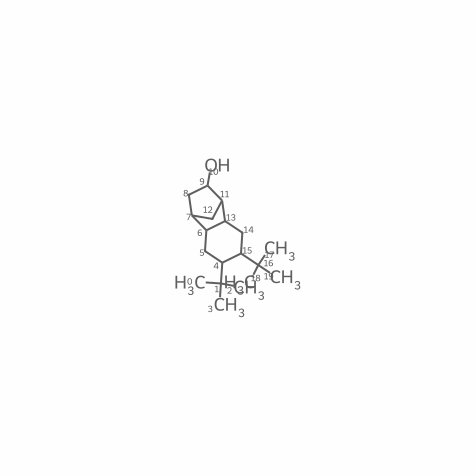 CC(C)(C)C1CC2C3CC(O)C(C3)C2CC1C(C)(C)C